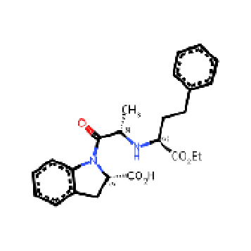 CCOC(=O)[C@H](CCc1ccccc1)N[C@@H](C)C(=O)N1c2ccccc2C[C@H]1C(=O)O